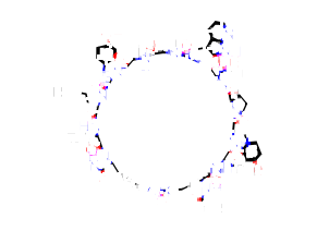 CCC[C@@H]1NC(=O)[C@H](Cc2ccc(O)cc2)NC(=O)[C@H](C)NC(=O)C(C)(C)NC(=O)[C@H](Cc2c[nH]c3ncccc23)NC(=O)[C@H]([C@@H](C)O)NC(=O)[C@@H]2CCCN2C(=O)[C@H](Cc2ccc(O)cc2)NC(=O)[C@H](C(C)(C)C)NC(=O)[C@@H](NC(C)=O)CCCC(=O)NCCCC[C@@H](C(N)=O)NC(=O)C(C)(C)NC1=O